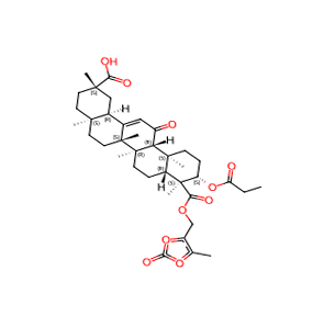 CCC(=O)O[C@H]1CC[C@@]2(C)[C@@H](CC[C@]3(C)[C@@H]2C(=O)C=C2[C@@H]4C[C@@](C)(C(=O)O)CC[C@]4(C)CC[C@]23C)[C@]1(C)C(=O)OCc1oc(=O)oc1C